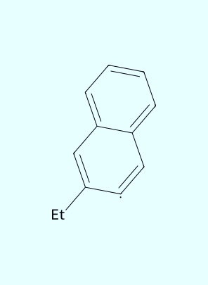 CCc1[c]cc2ccccc2c1